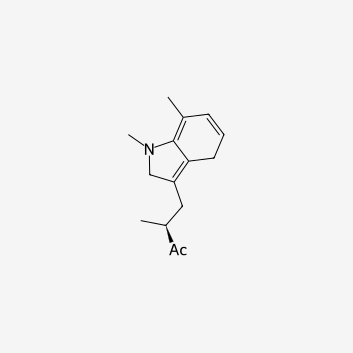 CC(=O)[C@@H](C)CC1=C2CC=CC(C)=C2N(C)C1